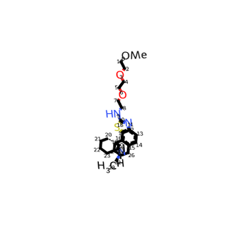 COCCOCCOCCNc1nc2ccc3c(c2s1)[C@]12CCCC[C@H]1[C@@H](C3)N(C)CC2